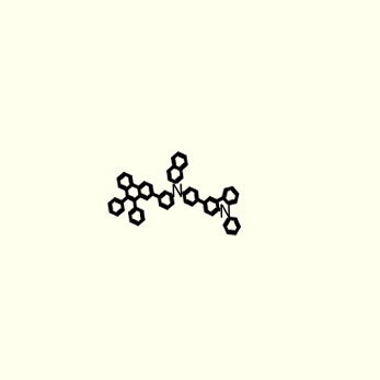 c1ccc(-c2c(-c3ccccc3)c3cc(-c4cccc(N(c5ccc(-c6ccc7c(c6)c6ccccc6n7-c6ccccc6)cc5)c5ccc6ccccc6c5)c4)ccc3c3ccccc23)cc1